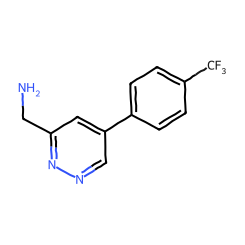 NCc1cc(-c2ccc(C(F)(F)F)cc2)cnn1